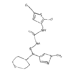 Cn1cc(N(SNC(=O)Nc2cc(Cl)sc2Cl)C2CCOCC2)cn1